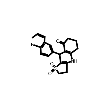 C/C=C\c1cc(C2C3=C(CCCC3=O)NC3=C2S(=O)(=O)CC3)ccc1F